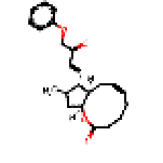 C[C@@H]1C[C@@H]2OC(=O)CCC/C=C\C[C@@H]2[C@H]1/C=C/C(=O)COc1ccccc1